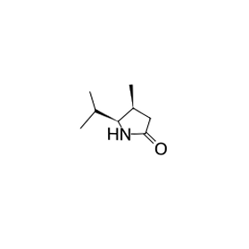 CC(C)[C@@H]1NC(=O)C[C@@H]1C